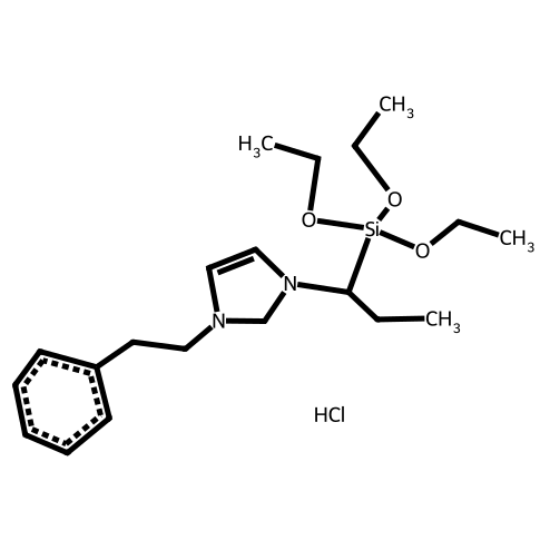 CCO[Si](OCC)(OCC)C(CC)N1C=CN(CCc2ccccc2)C1.Cl